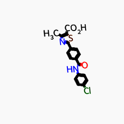 Cc1nc(-c2ccc(C(=O)Nc3ccc(Cl)cc3)cc2)sc1C(=O)O